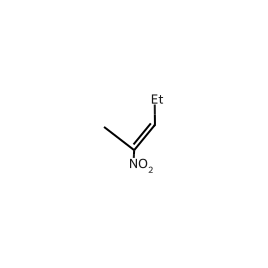 CCC=C(C)[N+](=O)[O-]